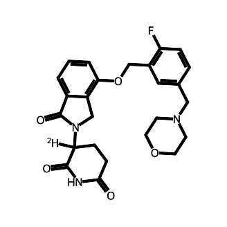 [2H]C1(N2Cc3c(OCc4cc(CN5CCOCC5)ccc4F)cccc3C2=O)CCC(=O)NC1=O